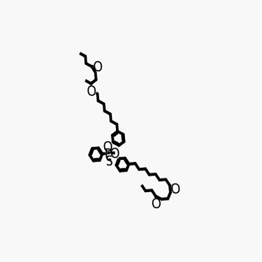 CCCC1OC1CC(C)OCCCCCCCc1cccc(OP(=S)(Oc2cccc(CCCCCCCC3OC3CC3OC3CCC)c2)c2ccccc2)c1